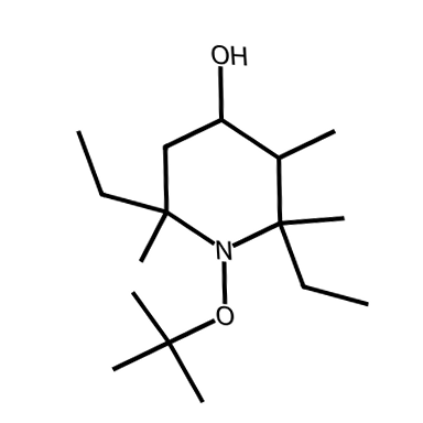 CCC1(C)CC(O)C(C)C(C)(CC)N1OC(C)(C)C